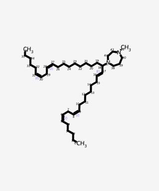 CCCCC/C=C\C/C=C\CCCCCC/C=C/C(CCCCCCCC/C=C\C/C=C\CCCCC)N1CCCN(C)CC1